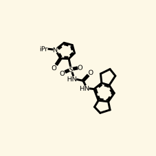 CC(C)n1cccc(S(=O)(=O)NC(=O)Nc2c3c(cc4c2CCC4)CCC3)c1=O